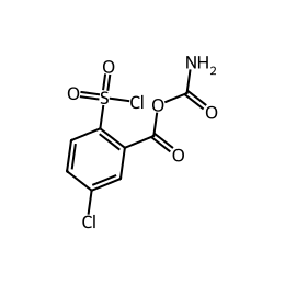 NC(=O)OC(=O)c1cc(Cl)ccc1S(=O)(=O)Cl